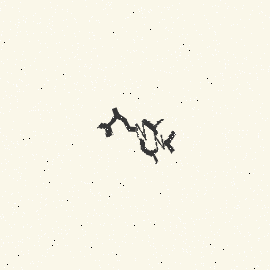 CC(C)C(C)CCN1C[C@@H](C)N(C(C)C)[C@@H](C)C1